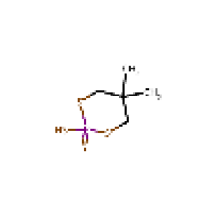 CC1(C)CSP(=S)(S)SC1